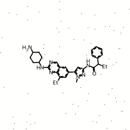 CCc1cc(-c2cc(NC(=O)C(CC)c3ccccc3)nn2C)cc2cnc(NC3CCC(N)CC3)nc12